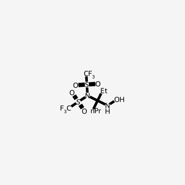 CCCC(CC)(NO)N(S(=O)(=O)C(F)(F)F)S(=O)(=O)C(F)(F)F